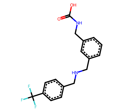 O=C(O)NCc1cccc(CNCc2ccc(C(F)(F)F)cc2)c1